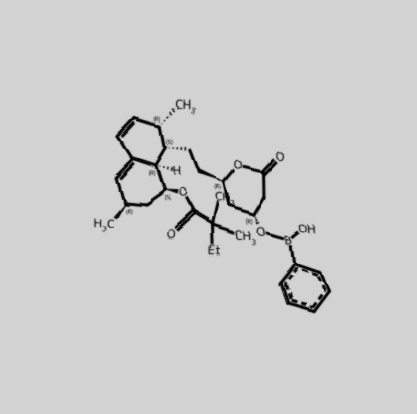 CCC(C)(C)C(=O)O[C@H]1C[C@@H](C)C=C2C=C[C@H](C)[C@H](CC[C@@H]3C[C@@H](OB(O)c4ccccc4)CC(=O)O3)[C@H]21